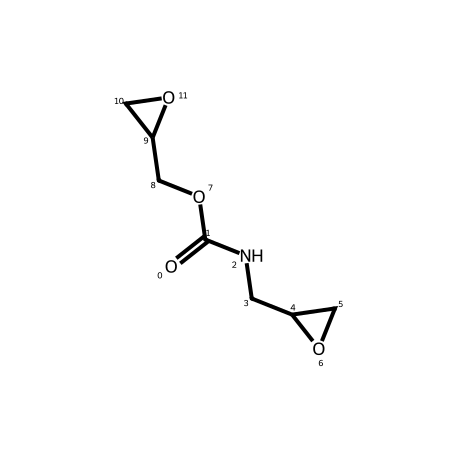 O=C(NCC1CO1)OCC1CO1